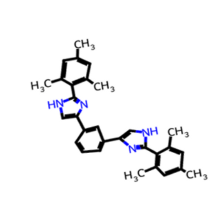 Cc1cc(C)c(-c2nc(-c3cccc(-c4c[nH]c(-c5c(C)cc(C)cc5C)n4)c3)c[nH]2)c(C)c1